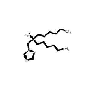 CCCCCCC(C)(CCCCCC)Cn1cncn1